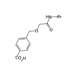 CC(C)NC(=O)COCc1ccc(C(=O)O)cc1